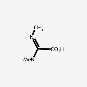 CN=C(NC)C(=O)O